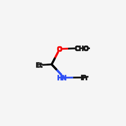 CCC(NC(C)C)O[C]=O